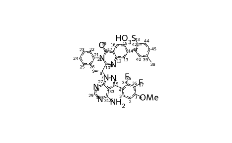 COc1ccc(-c2nn([C@@H](C)c3nc4ccccc4c(=O)n3-c3ccccc3)c3ncnc(N)c23)c(F)c1F.Cc1ccc(S(=O)(=O)O)cc1